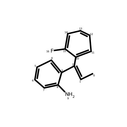 C/C=C(/c1ccccc1N)c1ccccc1F